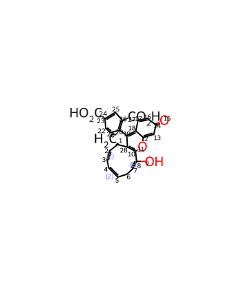 C=C1/C=C\C=C/C/C=C(/O)c2oc3cc(=O)ccc-3c(-c3ccc(C(=O)O)cc3C(=O)O)c21